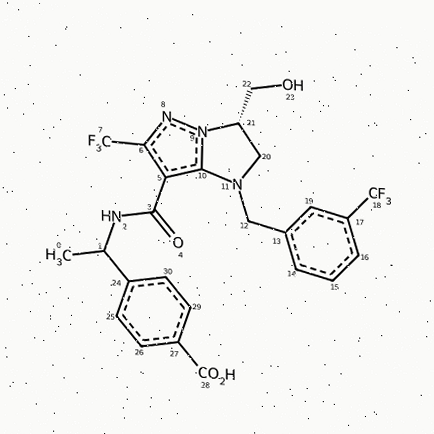 CC(NC(=O)c1c(C(F)(F)F)nn2c1N(Cc1cccc(C(F)(F)F)c1)C[C@H]2CO)c1ccc(C(=O)O)cc1